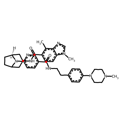 Cc1c(C(=O)NC2CC3CC[C@@H](C2)N3c2ccc(C(=O)NCCc3ccc(N4CCN(C)CC4)cc3)cn2)ccc2c1ncn2C